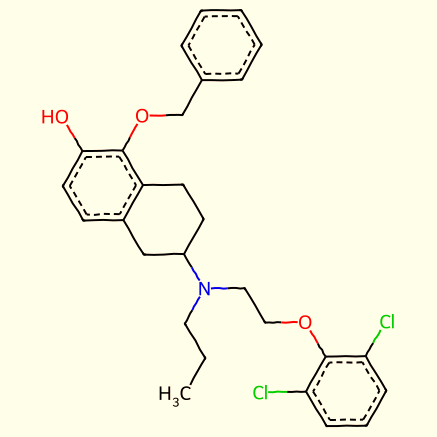 CCCN(CCOc1c(Cl)cccc1Cl)C1CCc2c(ccc(O)c2OCc2ccccc2)C1